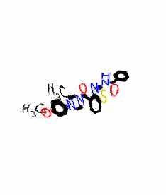 COc1ccc(N2CCN(C(=O)C3CCCc4sc(NC(=O)c5ccccc5)nc43)CC2C)cc1